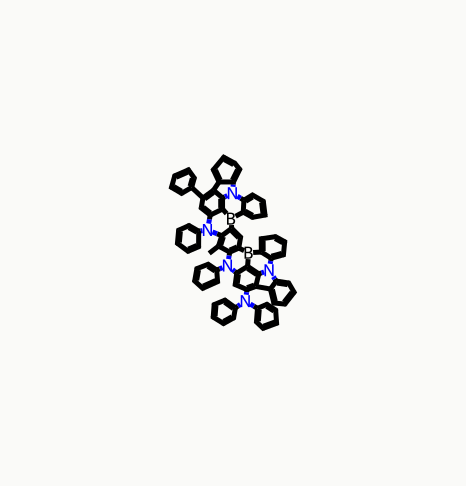 Cc1c2c(cc3c1N(c1ccccc1)c1cc(N(c4ccccc4)c4ccccc4)c4c5ccccc5n5c4c1B3c1ccccc1-5)B1c3ccccc3-n3c4ccccc4c4c(-c5ccccc5)cc(c1c43)N2c1ccccc1